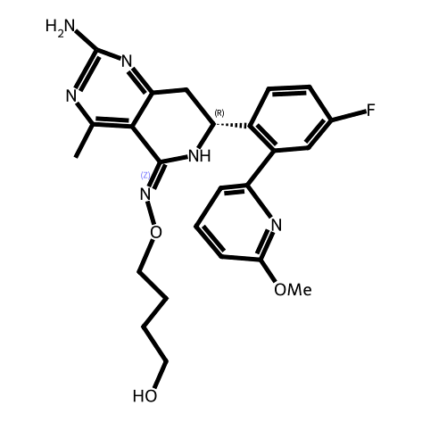 COc1cccc(-c2cc(F)ccc2[C@H]2Cc3nc(N)nc(C)c3/C(=N/OCCCCO)N2)n1